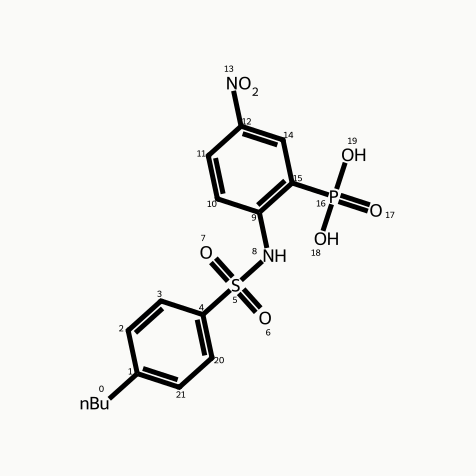 CCCCc1ccc(S(=O)(=O)Nc2ccc([N+](=O)[O-])cc2P(=O)(O)O)cc1